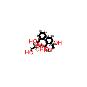 CC(O)CO.O=C(O)c1ccccc1.O=C(O)c1ccccc1.OCCO